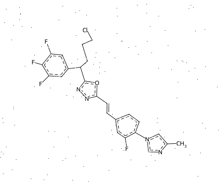 Cc1cn(-c2ccc(C=Cc3nnc(C(CCCCl)c4cc(F)c(F)c(F)c4)o3)cc2F)cn1